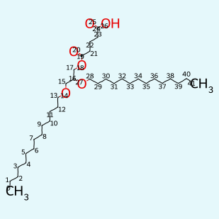 CCCCCCCCCCCCCCOCC(COC(=O)CCCC(=O)O)OCCCCCCCCCCCCCC